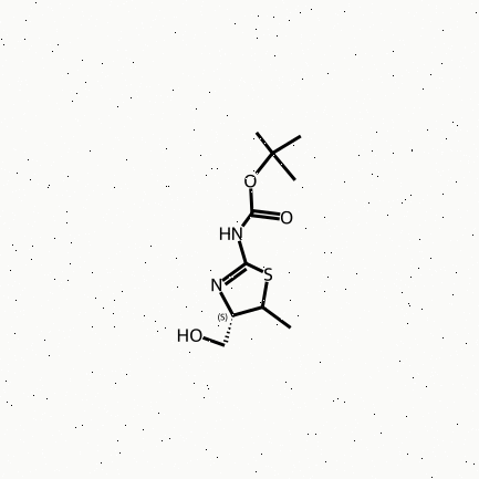 CC1SC(NC(=O)OC(C)(C)C)=N[C@H]1CO